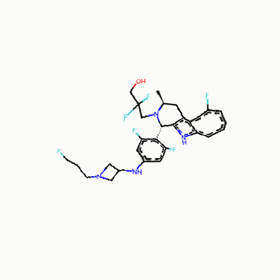 C[C@H]1Cc2c([nH]c3cccc(F)c23)[C@H](c2c(F)cc(NC3CN(CCCF)C3)cc2F)N1CC(F)(F)CO